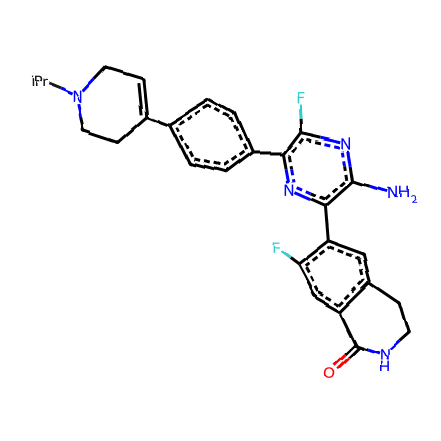 CC(C)N1CC=C(c2ccc(-c3nc(-c4cc5c(cc4F)C(=O)NCC5)c(N)nc3F)cc2)CC1